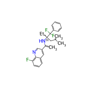 C=C(C)C[C@](CC)(NC(=C)c1cnc2c(F)cccc2c1)C(F)(F)c1ccccc1